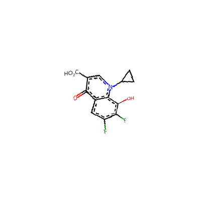 O=C(O)c1cn(C2CC2)c2c(O)c(F)c(F)cc2c1=O